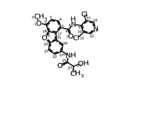 COc1ccc(C(=O)Nc2c(Cl)cncc2Cl)c2c1oc1ccc(NC(=O)C(C)O)cc12